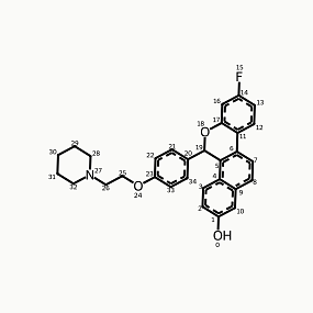 Oc1ccc2c3c(ccc2c1)-c1ccc(F)cc1OC3c1ccc(OCCN2CCCCC2)cc1